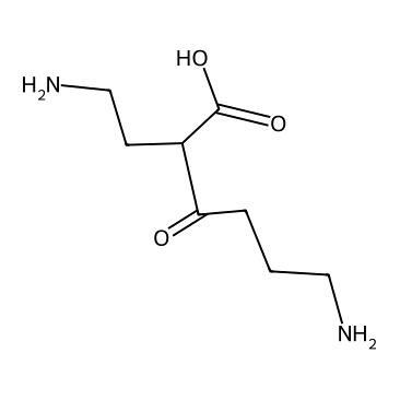 NCCCC(=O)C(CCN)C(=O)O